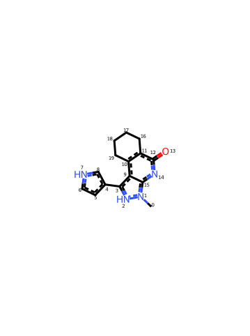 Cn1[nH]c(-c2cc[nH]c2)c2c3c(c(=O)nc1-2)CCCC3